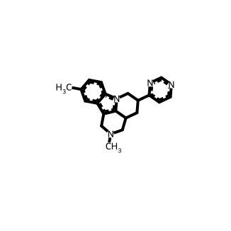 Cc1ccc2c(c1)c1c3n2CC(c2ccncn2)CC3CN(C)C1